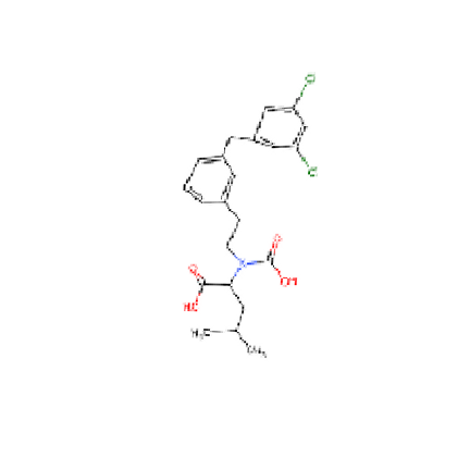 CC(C)CC(C(=O)O)N(CCc1cccc(Cc2cc(Cl)cc(Cl)c2)c1)C(=O)O